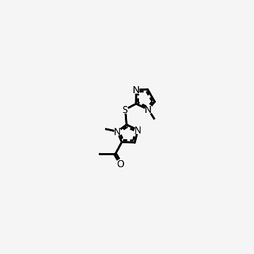 CC(=O)c1cnc(Sc2nccn2C)n1C